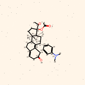 CC(=O)O[C@]1(C(C)=O)CC[C@H]2[C@@H]3CCC4=CCC(=O)CC4=C3[C@@H](c3ccc(N(C)C)cc3)C[C@@]21C